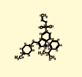 C=CCS(=O)(=O)c1ccc2[nH]cc(CN3CCN(C)CC3)c2c1.CC(C)c1ccccc1